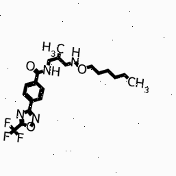 CCCCCCONCC(C)CNC(=O)c1ccc(-c2noc(C(F)(F)F)n2)cc1